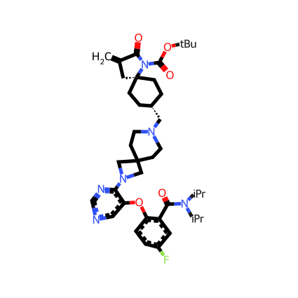 C=C1C[C@]2(CC[C@@H](CN3CCC4(CC3)CN(c3ncncc3Oc3ccc(F)cc3C(=O)N(C(C)C)C(C)C)C4)CC2)N(C(=O)OC(C)(C)C)C1=O